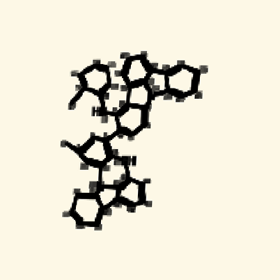 Cc1cc(-c2ccc3c(c2Nc2ccccc2C)c2cccc4c5ccccc5n3c42)c2c(c1)-n1c3ccccc3c3cccc(c31)B2